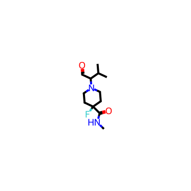 CNC(=O)C1(F)CCN(C(C=O)C(C)C)CC1